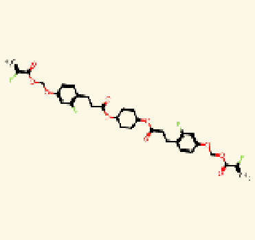 C=C(F)C(=O)OCOc1ccc(CCC(=O)OC2CCC(OC(=O)CCc3ccc(OCOC(=O)C(=C)F)cc3F)CC2)c(F)c1